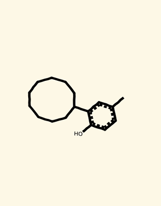 Cc1ccc(O)c(C2CCCCCCCCC2)c1